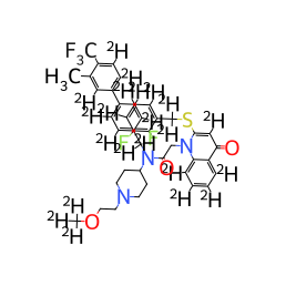 [2H]c1c([2H])c(F)c(F)c(C([2H])([2H])Sc2c([2H])c(=O)c3c([2H])c([2H])c([2H])c([2H])c3n2CC(=O)N(C2CCN(CCOC([2H])([2H])[2H])CC2)C([2H])([2H])c2c([2H])c([2H])c(-c3c([2H])c([2H])c(C(F)(F)F)c(C)c3[2H])c([2H])c2[2H])c1[2H]